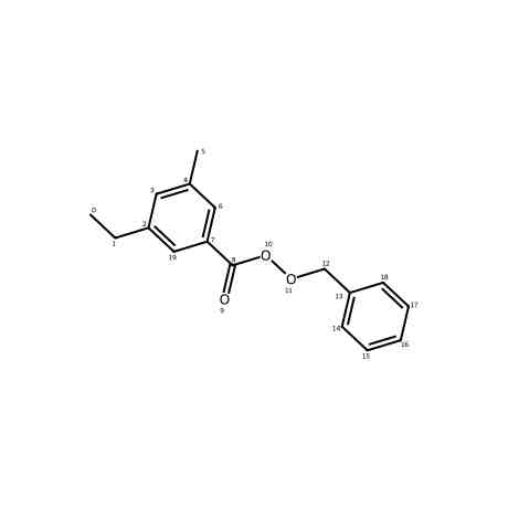 CCc1cc(C)cc(C(=O)OOCc2ccccc2)c1